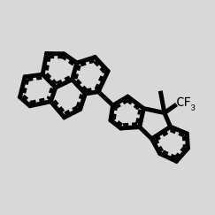 CC1(C(F)(F)F)c2ccccc2-c2ccc(-c3ccc4ccc5cccc6ccc3c4c56)cc21